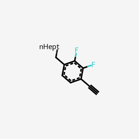 C#Cc1ccc(CCCCCCCC)c(F)c1F